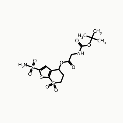 CC(C)(C)OC(=O)NCC(=O)OC1CCS(=O)(=O)c2sc(S(N)(=O)=O)cc21